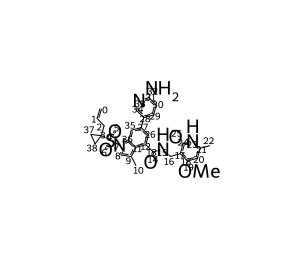 C=CCC1(S(=O)(=O)n2cc(C)c3c(C(=O)NCc4c(OC)cc(C)[nH]c4=O)cc(-c4ccc(N)nc4)cc32)CC1